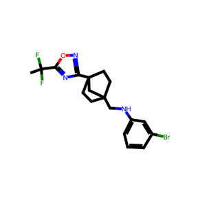 CC(F)(F)c1nc(C23CCC(CNc4cccc(Br)c4)(CC2)C3)no1